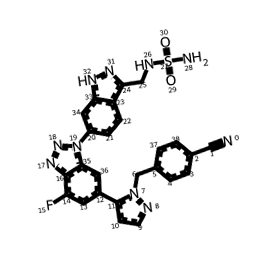 N#Cc1ccc(Cn2nccc2-c2cc(F)c3nnn(-c4ccc5c(CNS(N)(=O)=O)n[nH]c5c4)c3c2)cc1